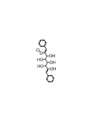 OC(=Cc1ccccc1)C(O)C(O)C(O)C(O)C(=Cc1ccccc1)OCl